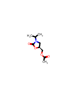 CC(=O)OC[C@@H]1CN(C(C)C)C(=O)O1